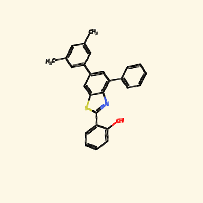 Cc1cc(C)cc(-c2cc(-c3ccccc3)c3nc(-c4ccccc4O)sc3c2)c1